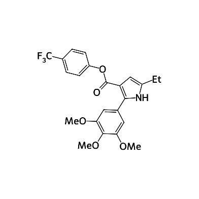 CCc1cc(C(=O)Oc2ccc(C(F)(F)F)cc2)c(-c2cc(OC)c(OC)c(OC)c2)[nH]1